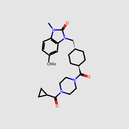 COc1ccc2c(c1)n(C[C@H]1CC[C@H](C(=O)N3CCN(C(=O)C4CC4)CC3)CC1)c(=O)n2C